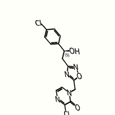 O=c1c(Cl)nccn1Cc1nc(C[C@H](O)c2ccc(Cl)cc2)no1